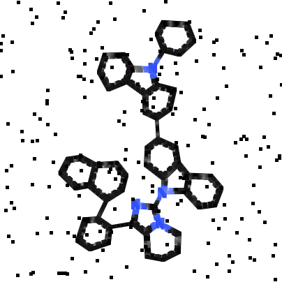 c1ccc(-n2c3ccccc3c3cc(-c4ccc5c(c4)c4ccccc4n5-c4nc(-c5ccccc5-c5cccc6ccccc56)c5ccccn45)ccc32)cc1